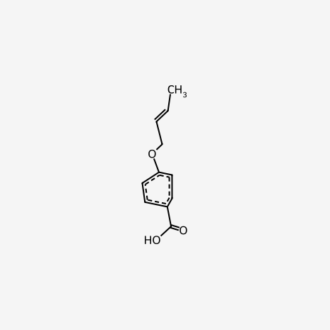 CC=CCOc1ccc(C(=O)O)cc1